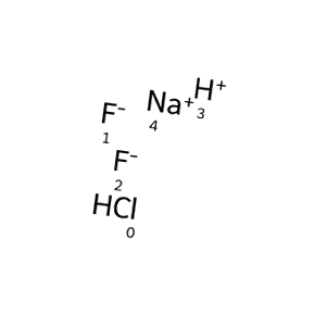 Cl.[F-].[F-].[H+].[Na+]